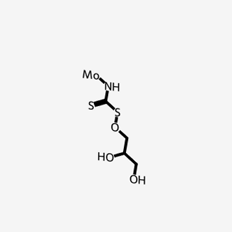 OCC(O)COSC(=S)[NH][Mo]